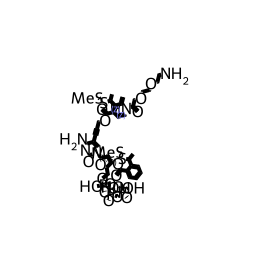 C=C/C(=C(\C=C/NC(=O)COCCOCCN)C(=O)OCC#Cc1cn([C@H]2C[C@@H](OC(=O)c3ccccc3C(C)SSC)C(COP(=O)(O)OP(=O)(O)OP(=O)(O)O)O2)c(=O)nc1N)C(C)SSC